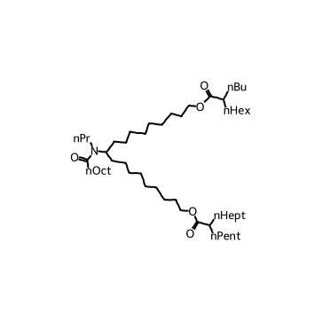 CCCCCCCCC(=O)N(CCC)C(CCCCCCCCCOC(=O)C(CCCC)CCCCCC)CCCCCCCCCOC(=O)C(CCCCC)CCCCCCC